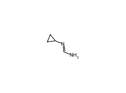 N/C=N/C1CC1